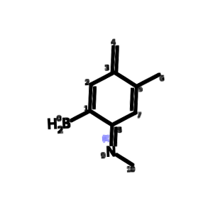 BC1=CC(=C)C(C)=C/C1=N\C